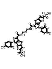 O=C(NCCCNC(=O)c1nn(-c2ccc(Cl)cc2Cl)c2c1Cc1cc(S(=O)(=O)O)sc1-2)c1nn(-c2ccc(Cl)cc2Cl)c2c1Cc1cc(S(=O)(=O)O)sc1-2